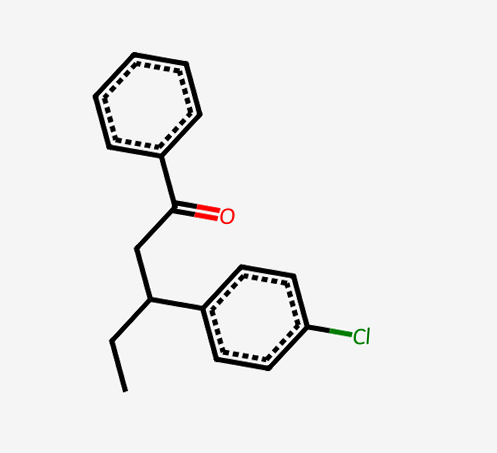 CCC(CC(=O)c1ccccc1)c1ccc(Cl)cc1